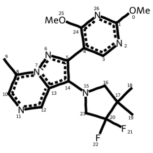 COc1ncc(-c2nn3c(C)cncc3c2N2CC(C)(C)C(F)(F)C2)c(OC)n1